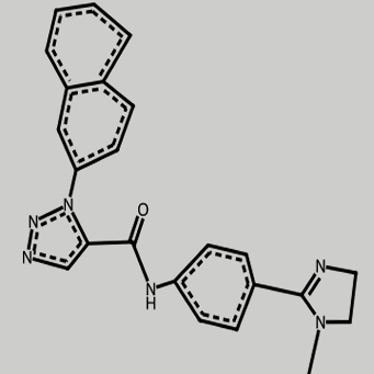 CN1CCN=C1c1ccc(NC(=O)c2cnnn2-c2ccc3ccccc3c2)cc1